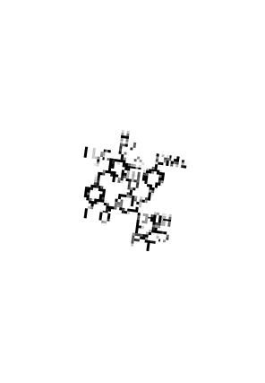 COc1ccc(CN2C(=O)CN(C(=O)c3cc(Cc4n[nH]c(=O)c(C)c4C)ccc3F)CC2C)cc1.O=C(O)C(F)(F)F